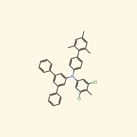 Cc1cc(C)c(-c2ccc(N(c3cc(-c4ccccc4)cc(-c4ccccc4)c3)c3cc(Cl)c(C)c(Cl)c3)cc2)c(C)c1